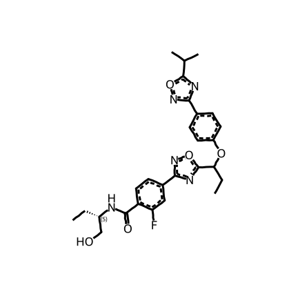 CCC(Oc1ccc(-c2noc(C(C)C)n2)cc1)c1nc(-c2ccc(C(=O)N[C@@H](CC)CO)c(F)c2)no1